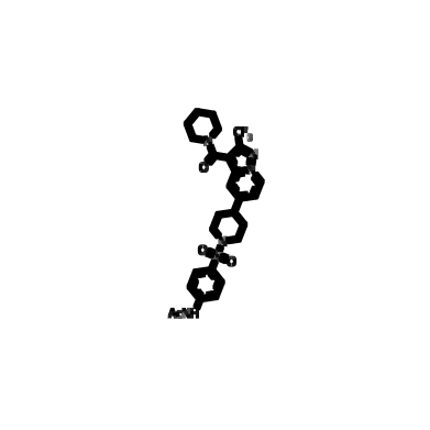 CC(=O)Nc1ccc(S(=O)(=O)N2CCC(c3ccn4nc(C(F)(F)F)c(C(=O)N5CCCCC5)c4c3)CC2)cc1